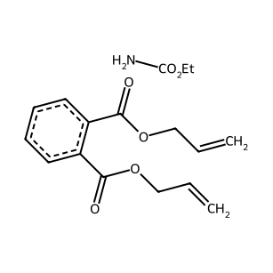 C=CCOC(=O)c1ccccc1C(=O)OCC=C.CCOC(N)=O